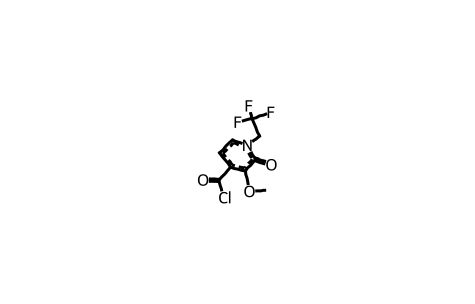 COc1c(C(=O)Cl)ccn(CC(F)(F)F)c1=O